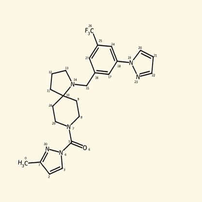 Cc1ccn(C(=O)N2CCC3(CCCN3Cc3cc(-n4cccn4)cc(C(F)(F)F)c3)CC2)n1